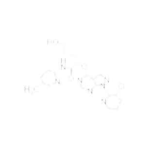 Cc1ccc(NC(=O)[C@H](CCCO)Oc2ncnc3c2cnn3-c2ncccc2Cl)nc1